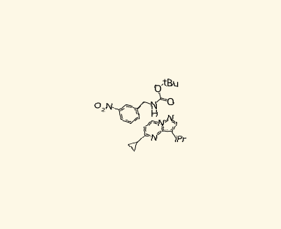 CC(C)(C)OC(=O)NCc1cccc([N+](=O)[O-])c1.CC(C)c1cnn2ccc(C3CC3)nc12